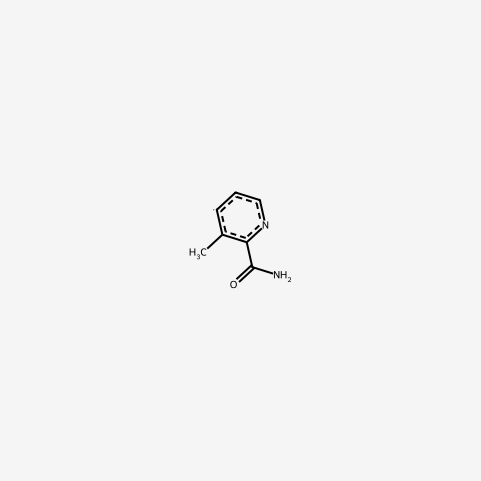 Cc1[c]ccnc1C(N)=O